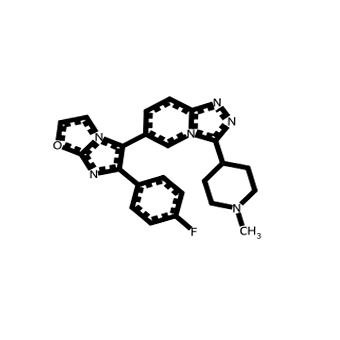 CN1CCC(c2nnc3ccc(-c4c(-c5ccc(F)cc5)nc5occn45)cn23)CC1